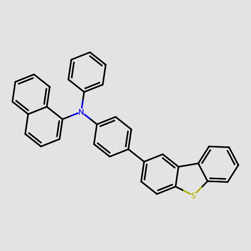 c1ccc(N(c2ccc(-c3ccc4sc5ccccc5c4c3)cc2)c2cccc3ccccc23)cc1